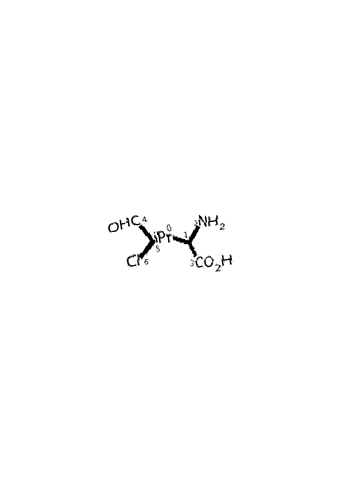 CC(C)C(N)C(=O)O.O=CCCl